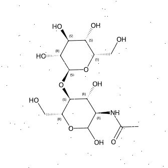 CC(=O)N[C@H]1C(O)O[C@H](CO)[C@@H](O[C@@H]2O[C@@H](CO)[C@@H](O)[C@H](O)[C@H]2O)[C@@H]1O